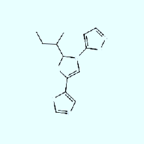 CCC(C)C1OC(c2cncs2)=[C]N1c1ccno1